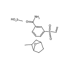 C=CS(=O)(=O)c1cccc(C(N)=O)c1.CC1CC2CCC1O2.CS(=O)(=O)O